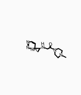 CN1CCN(C(=O)CN[C@@H]2C[C@]23C=CN=NN3)CC1